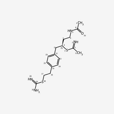 CC(=N)S[C@H](CCNC(C)=O)Cc1ccc(CCSC(=N)N)cc1